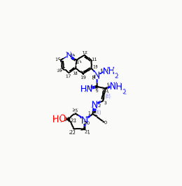 C/C(=N\C=C(\N)C(=N)N(N)c1ccc2ncccc2c1)N1CCC(O)C1